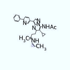 C/C=C\N[C@H](C)CCc1nc2c(-c3ccc(-c4ccccc4)nc3)cnn2c(NC(C)=O)c1C1CC1